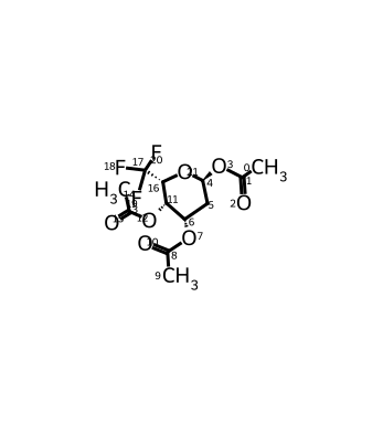 CC(=O)O[C@H]1C[C@H](OC(C)=O)[C@H](OC(C)=O)[C@H](C(F)(F)F)O1